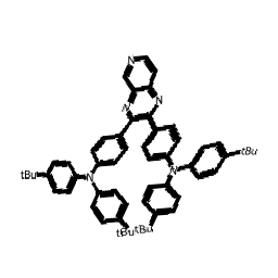 CC(C)(C)c1ccc(N(c2ccc(-c3nc4ccncc4nc3-c3ccc(N(c4ccc(C(C)(C)C)cc4)c4ccc(C(C)(C)C)cc4)cc3)cc2)c2ccc(C(C)(C)C)cc2)cc1